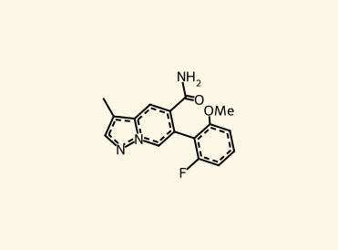 COc1cccc(F)c1-c1cn2ncc(C)c2cc1C(N)=O